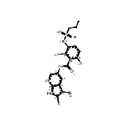 CCCS(=O)(=O)Nc1ccc(F)c(C(=O)Nc2cnc3[nH]c(C)c(Br)c3c2)c1F